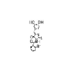 O=C(NN1C(=O)/C(=C/c2ccc(O)c(O)c2)SC1=S)c1ccccc1Br